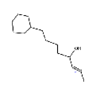 OC(/C=C/I)CCCCC1CCCCC1